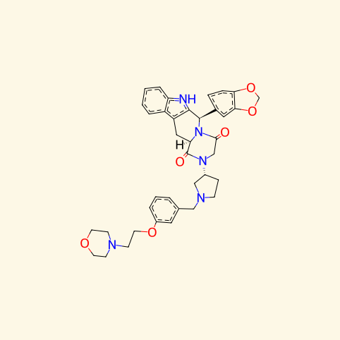 O=C1[C@H]2Cc3c([nH]c4ccccc34)[C@@H](c3ccc4c(c3)OCO4)N2C(=O)CN1[C@@H]1CCN(Cc2cccc(OCCN3CCOCC3)c2)C1